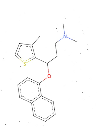 Cc1ccsc1C(CCN(C)C)Oc1cccc2ccccc12